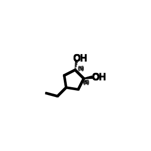 CCC1C[C@H](O)[C@@H](O)C1